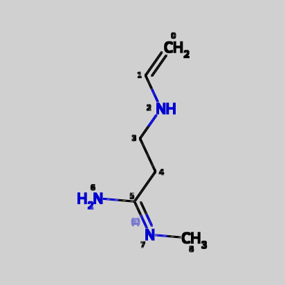 C=CNCC/C(N)=N\C